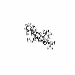 Cc1ccc2c(NC3CC3)onc2c1-c1cc2cn(-c3c(F)cccc3F)nc2n(C)c1=O